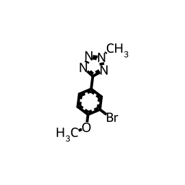 COc1ccc(-c2nnn(C)n2)cc1Br